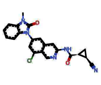 Cn1c(=O)n(-c2cc(Cl)c3cnc(NC(=O)[C@@H]4C[C@H]4C#N)cc3c2)c2ccccc21